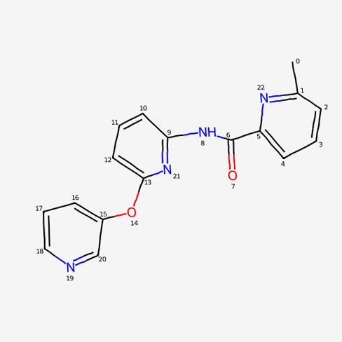 Cc1cccc(C(=O)Nc2cccc(Oc3cccnc3)n2)n1